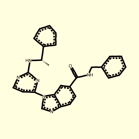 C[C@H](Nc1nccc(-n2cnc3ccc(C(=O)NCc4ccccc4)cc32)n1)c1ccccc1